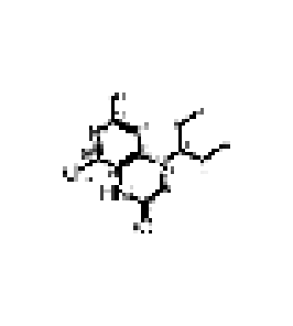 CCC(CC)N1CC(=O)Nc2c1cc(C)nc2Cl